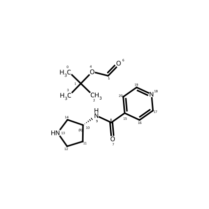 CC(C)(C)OC=O.O=C(N[C@@H]1CCNC1)c1ccncc1